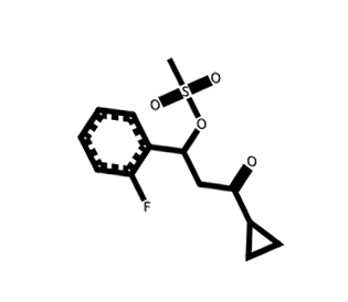 CS(=O)(=O)OC(CC(=O)C1CC1)c1ccccc1F